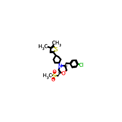 Cc1cc(C2CCC(N3C[C@H](CS(C)(=O)=O)OC[C@@H]3Cc3ccc(Cl)cc3)CC2)sc1C